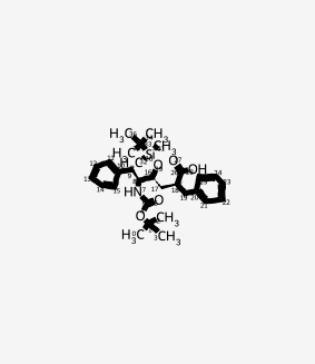 CC(C)(C)OC(=O)N[C@@H](Cc1ccccc1)[C@@H](C[C@H](Cc1ccccc1)C(=O)O)O[Si](C)(C)C(C)(C)C